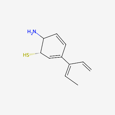 C=C/C(=C\C)C1=C[C@H](S)C(N)C=C1